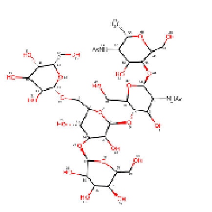 CC(=O)NC1C(O)[C@H](O[C@@H]2OC(CO[C@H]3O[C@@H](CO)[C@@H](O)C(O)C3O)[C@@H](O)C(O[C@H]3OC(CO)[C@@H](O)C(O)C3O)C2O)C(CO)O[C@H]1O[C@@H]1C(CO)O[C@@H](C)C(NC(C)=O)C1O